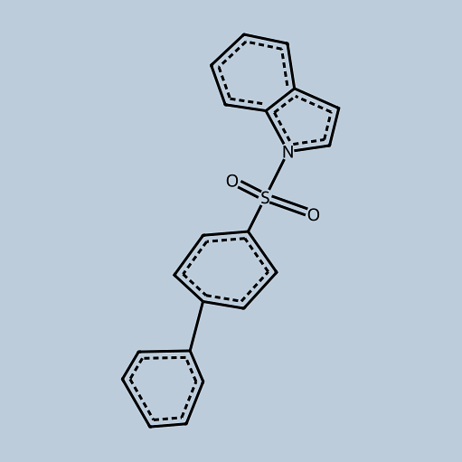 O=S(=O)(c1ccc(-c2ccccc2)cc1)n1ccc2ccccc21